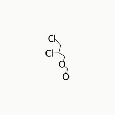 O=COCC(Cl)CCl